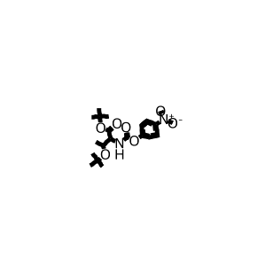 CC(OC(C)(C)C)C(NC(=O)Oc1ccc([N+](=O)[O-])cc1)C(=O)OC(C)(C)C